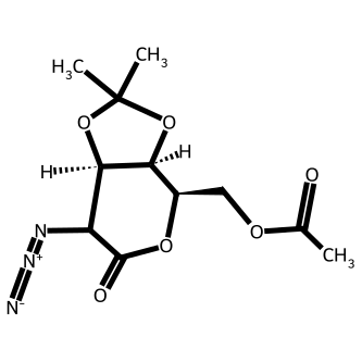 CC(=O)OC[C@H]1OC(=O)C(N=[N+]=[N-])[C@H]2OC(C)(C)O[C@H]21